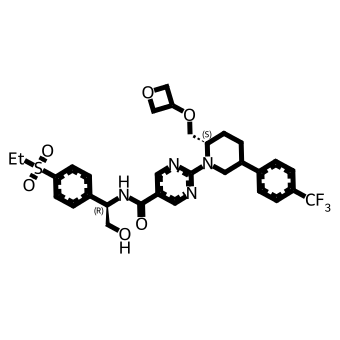 CCS(=O)(=O)c1ccc([C@H](CO)NC(=O)c2cnc(N3CC(c4ccc(C(F)(F)F)cc4)CC[C@H]3COC3COC3)nc2)cc1